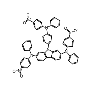 O=[N+]([O-])c1ccc(N(c2ccccc2)c2ccc(-n3c4cc(N(c5ccccc5)c5ccc([N+](=O)[O-])cc5)ccc4c4ccc(N(c5ccccc5)c5ccc([N+](=O)[O-])cc5)cc43)cc2)cc1